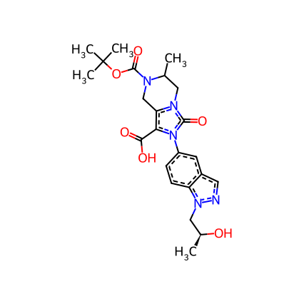 CC1Cn2c(c(C(=O)O)n(-c3ccc4c(cnn4C[C@H](C)O)c3)c2=O)CN1C(=O)OC(C)(C)C